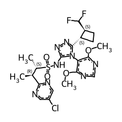 COc1ncnc(OC)c1-n1c(NS(=O)(=O)[C@@H](C)[C@H](C)c2ncc(Cl)cn2)nnc1[C@H]1CC[C@@H]1C(F)F